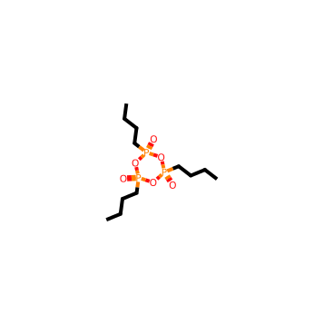 CCCCP1(=O)OP(=O)(CCCC)OP(=O)(CCCC)O1